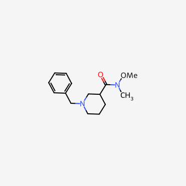 CON(C)C(=O)C1CCCN(Cc2ccccc2)C1